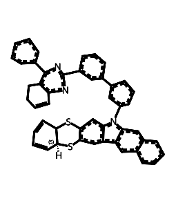 C1=CC2Sc3cc4c(cc3S[C@H]2C=C1)c1cc2ccccc2cc1n4-c1cccc(-c2cccc(-c3nc4c(c(-c5ccccc5)n3)CCC=C4)c2)c1